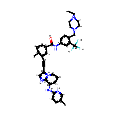 CCN1CCN(Cc2ccc(NC(=O)c3ccc(C)c(C#Cc4cnc5c(Nc6ccc(C)cn6)cccn45)c3)cc2C(F)(F)F)CC1